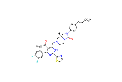 COC(=O)C1=C(CN2CCN3C(=O)N(c4ccc(/C=C/C(=O)O)cc4)C[C@@H]3C2)NC(c2nccs2)=NC1c1ccc(F)c(F)c1